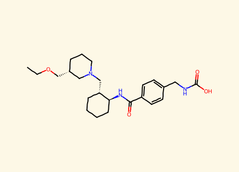 CCOC[C@@H]1CCCN(C[C@H]2CCCC[C@@H]2NC(=O)c2ccc(CNC(=O)O)cc2)C1